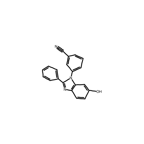 N#Cc1cccc(-n2c(-c3ccccc3)nc3ccc(O)cc32)c1